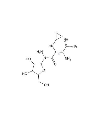 CCCC(=N)/C(N)=C(\NC1CC1)C(=O)N(N)C1OC(CO)C(O)C1O